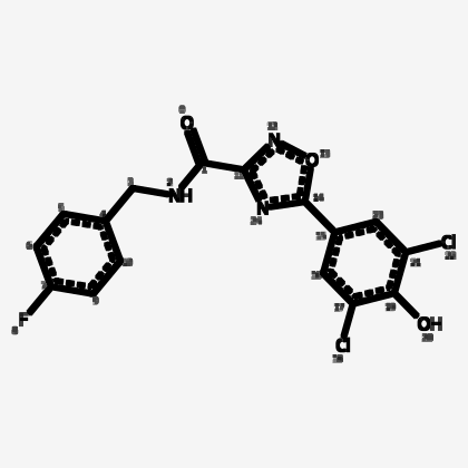 O=C(NCc1ccc(F)cc1)c1noc(-c2cc(Cl)c(O)c(Cl)c2)n1